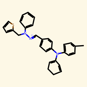 Cc1ccc(N(C2=CCCC=C2)c2ccc(/C=N/N(Cc3cccs3)c3ccccc3)cc2)cc1